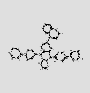 c1ccc2c(-c3ccc4c(-c5ccc(-c6ccncc6)cc5)c5ccccc5c(-c5ccc(-c6ccncc6)cc5)c4c3)cccc2c1